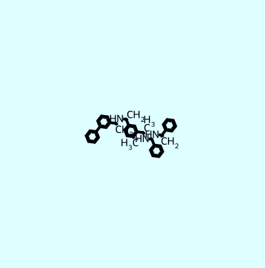 C=C(NC(C)c1cccc(-c2ccccc2)c1)c1ccc(C)c(C(C)NC(NC(=C)c2ccccc2)c2ccccc2)c1